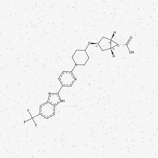 O=C(O)[C@@H]1[C@@H]2C[C@@H](OC3CCN(c4ccc(-c5nc6cc(C(F)(F)F)ccc6[nH]5)cn4)CC3)C[C@@H]21